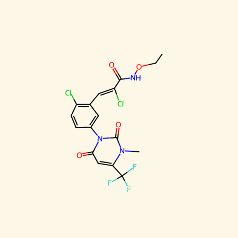 CCONC(=O)C(Cl)=Cc1cc(-n2c(=O)cc(C(F)(F)F)n(C)c2=O)ccc1Cl